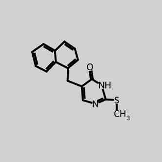 CSc1ncc(Cc2cccc3ccccc23)c(=O)[nH]1